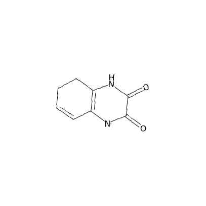 O=C1[N]C2=C(CCC=C2)NC1=O